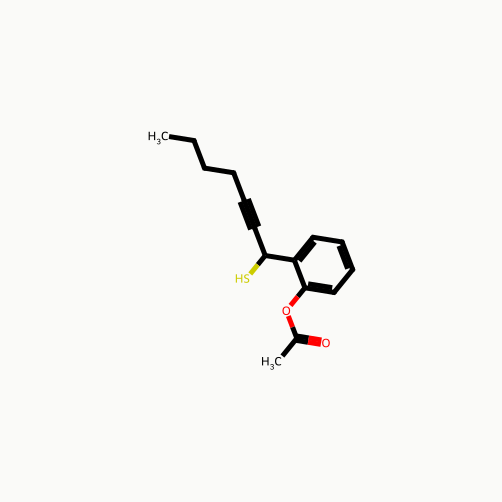 CCCCC#CC(S)c1ccccc1OC(C)=O